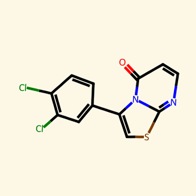 O=c1ccnc2scc(-c3ccc(Cl)c(Cl)c3)n12